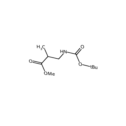 COC(=O)C(C)CNC(=O)OC(C)(C)C